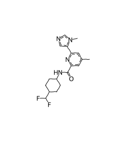 Cc1cc(C(=O)NC2CCC(C(F)F)CC2)nc(-c2cncn2C)c1